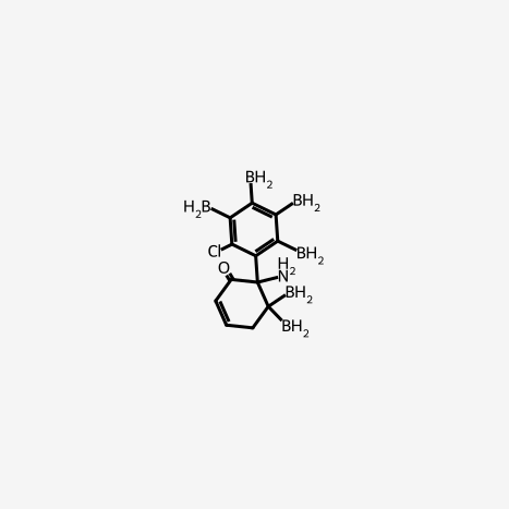 Bc1c(B)c(B)c(C2(N)C(=O)C=CCC2(B)B)c(Cl)c1B